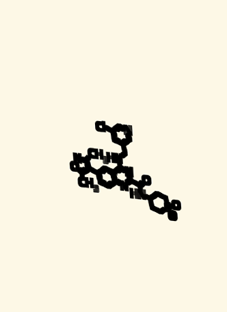 Cc1noc(C)c1-c1ccc2nc(C(=O)NC3CCS(=O)(=O)CC3)nc(NCc3cncc(Cl)c3)c2c1